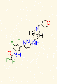 O=C(Nc1cc(F)c(F)c(-c2ccc(NC3C[C@@H]4CN(CC5CCOCC5)C[C@@H]4C3)nn2)c1)C(F)F